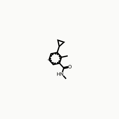 CNC(=O)c1c[c]cc(C2CC2)c1C